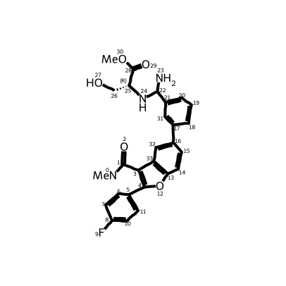 CNC(=O)c1c(-c2ccc(F)cc2)oc2ccc(-c3cccc(C(N)N[C@H](CO)C(=O)OC)c3)cc12